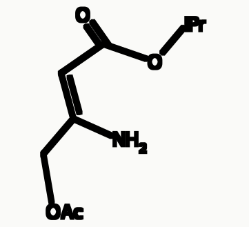 CC(=O)OCC(N)=CC(=O)OC(C)C